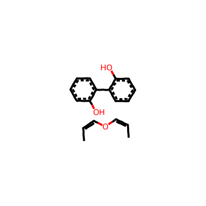 C/C=C\O/C=C\C.Oc1ccccc1-c1ccccc1O